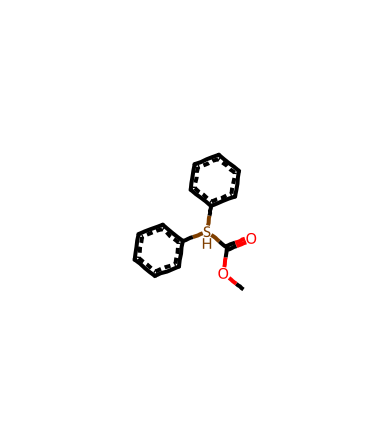 COC(=O)[SH](c1ccccc1)c1ccccc1